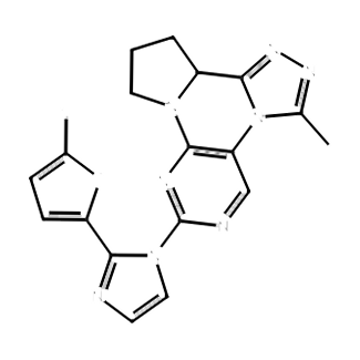 Cc1nnc2n1-c1cnc(-n3ccnc3-c3ccc(Cl)s3)nc1N1CCCC21